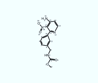 COC(=O)NCc1cccc(-c2nccc(N)c2[N+](=O)[O-])c1